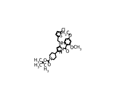 COc1ccc(C(=O)n2nc(C3CCN(C(=O)OC(C)(C)C)CC3)cc2NCc2ccc(Cl)s2)c(OC)c1